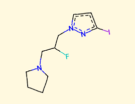 FC(CN1CCCC1)Cn1ccc(I)n1